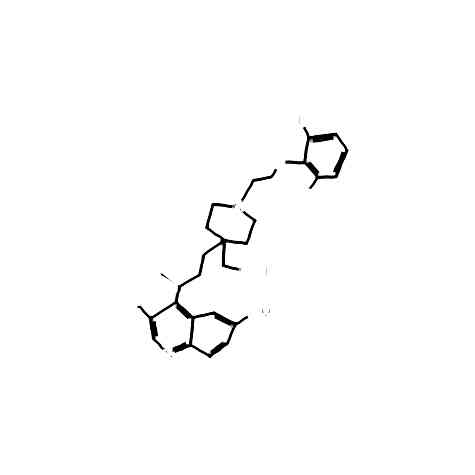 COc1ccc2ncc(Cl)c([C@@H](F)CCC3(CC(=O)O)CCN(CCSc4c(F)cccc4F)CC3)c2c1